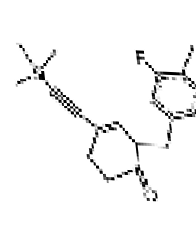 Cc1ccc(CC2C=C(C#C[Si](C)(C)C)CCC2=O)cc1F